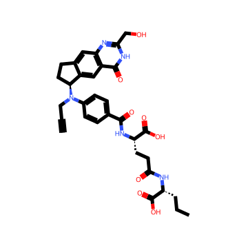 C#CCN(c1ccc(C(=O)N[C@@H](CCC(=O)N[C@H](CCC)C(=O)O)C(=O)O)cc1)[C@H]1CCc2cc3nc(CO)[nH]c(=O)c3cc21